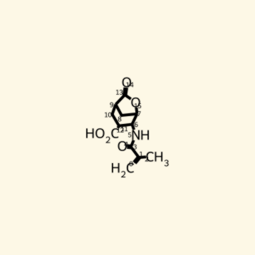 C=C(C)C(=O)NC1C2CC(CC1C(=O)O)C(=O)O2